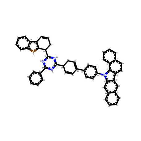 C1=Cc2c(sc3ccccc23)C(c2nc(-c3ccccc3)nc(C3C=CC(c4ccc(-n5c6cc7ccccc7cc6c6ccc7ccccc7c65)cc4)=CC3)n2)C1